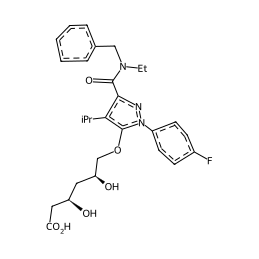 CCN(Cc1ccccc1)C(=O)c1nn(-c2ccc(F)cc2)c(OC[C@@H](O)C[C@@H](O)CC(=O)O)c1C(C)C